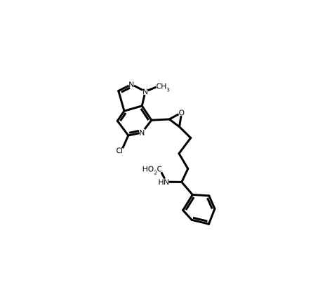 Cn1ncc2cc(Cl)nc(C3OC3CCCC(NC(=O)O)c3ccccc3)c21